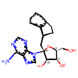 Nc1ncnc2c1ncn2[C@]1(CC2CCc3ccccc32)O[C@H](CO)[C@@H](O)[C@H]1O